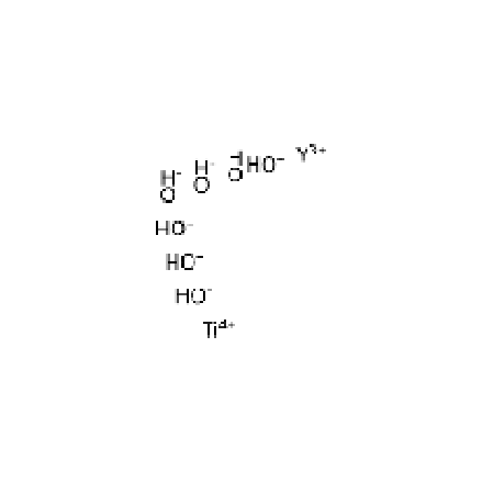 [OH-].[OH-].[OH-].[OH-].[OH-].[OH-].[OH-].[Ti+4].[Y+3]